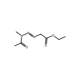 CCOC(=O)CN=NN(C)C(C)=O